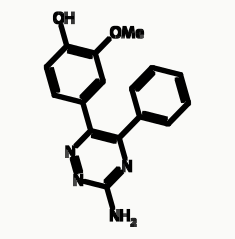 COc1cc(-c2nnc(N)nc2-c2ccccc2)ccc1O